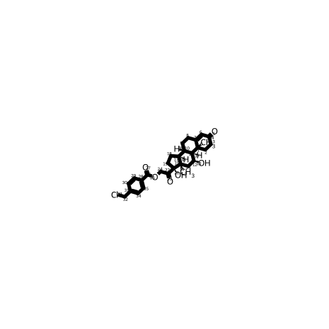 C[C@]12CCC(=O)C=C1CC[C@@H]1[C@@H]2[C@@H](O)C[C@@]2(C)[C@H]1CC[C@]2(O)C(=O)COC(=O)c1ccc(CCl)cc1